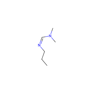 CCC/N=C\N(C)C